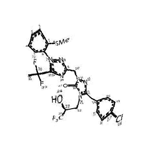 CSc1ccccc1-n1nc(Cn2nc(-c3ccc(Cl)cc3)n(CC(O)C(F)(F)F)c2=O)nc1C(C)(F)F